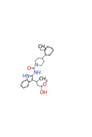 CCc1ccccc1C1CCN(C(=O)Nc2[nH]c3ccccc3c2C(C)CC(=O)O)CC1